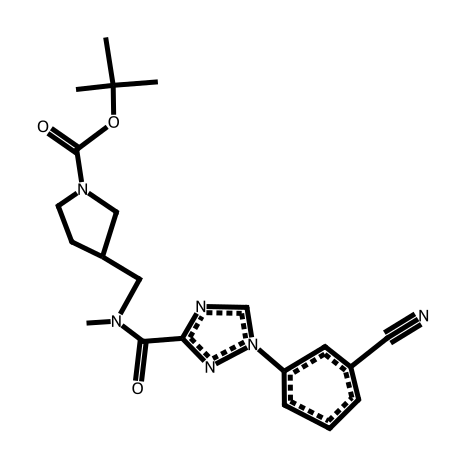 CN(CC1CCN(C(=O)OC(C)(C)C)C1)C(=O)c1ncn(-c2cccc(C#N)c2)n1